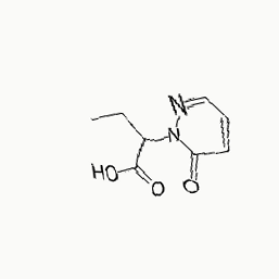 CCC(C(=O)O)n1ncccc1=O